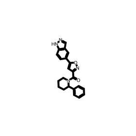 O=C(c1cc(-c2ccc3[nH]ncc3c2)on1)N1CCCCC1c1ccccc1